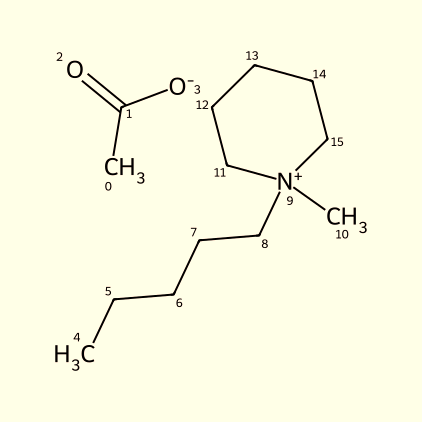 CC(=O)[O-].CCCCC[N+]1(C)CCCCC1